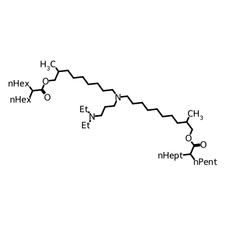 CCCCCCCC(CCCCC)C(=O)OCC(C)CCCCCCCCN(CCCCCCCC(C)COC(=O)C(CCCCCC)CCCCCC)CCCN(CC)CC